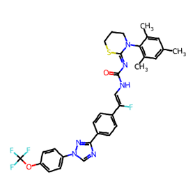 Cc1cc(C)c(N2CCCS/C2=N\C(=O)N/C=C(\F)c2ccc(-c3ncn(-c4ccc(OC(F)(F)F)cc4)n3)cc2)c(C)c1